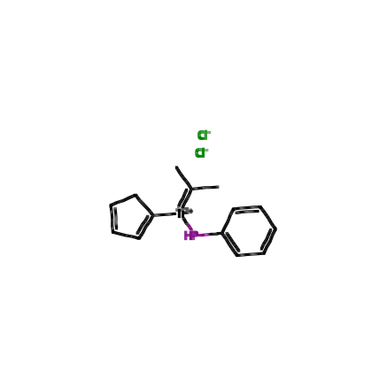 C[C](C)=[Ti+2]([PH]c1ccccc1)[C]1=CC=CC1.[Cl-].[Cl-]